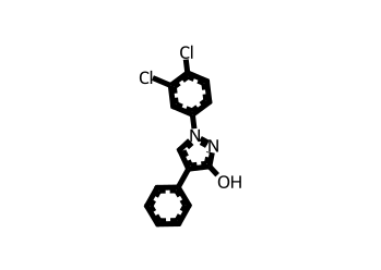 Oc1nn(-c2ccc(Cl)c(Cl)c2)cc1-c1ccccc1